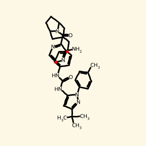 Cc1ccc(-n2nc(C(C)(C)C)cc2NC(=O)Nc2ccc(CC3CC4CCC(C3)N4C(=O)c3nccnc3N)cc2)cc1